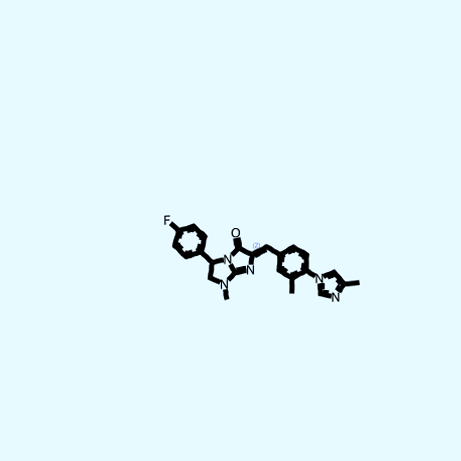 Cc1cn(-c2ccc(/C=C3\N=C4N(C)CC(c5ccc(F)cc5)N4C3=O)cc2C)cn1